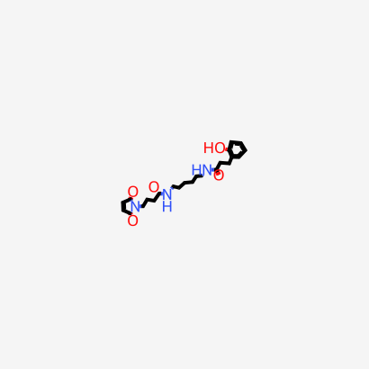 O=C(CCCN1C(=O)C=CC1=O)NCCCCCCNC(=O)CCc1ccccc1O